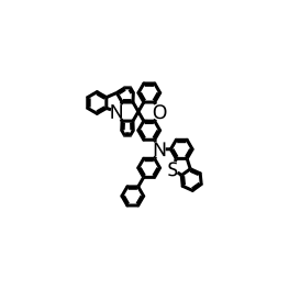 c1ccc(-c2ccc(N(c3ccc4c(c3)Oc3ccccc3C43c4ccccc4-n4c5ccccc5c5cccc3c54)c3cccc4c3sc3ccccc34)cc2)cc1